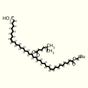 CN(C)CCCC(=O)OC(CCCCCCCC/C=C\CCCCCCCC(=O)O)CCCCCCCC/C=C\CCCCCCCC(=O)OCC(C)(C)C